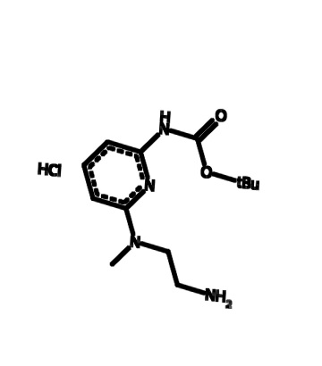 CN(CCN)c1cccc(NC(=O)OC(C)(C)C)n1.Cl